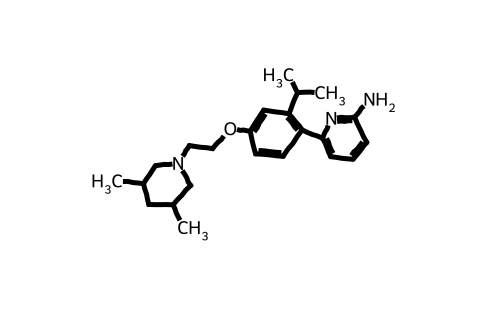 CC1CC(C)CN(CCOc2ccc(-c3cccc(N)n3)c(C(C)C)c2)C1